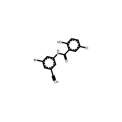 C#Cc1cc(Br)cc(NC(=O)c2cc(Cl)ccc2O)c1